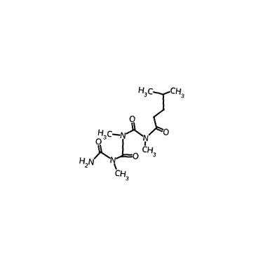 CC(C)CCC(=O)N(C)C(=O)N(C)C(=O)N(C)C(N)=O